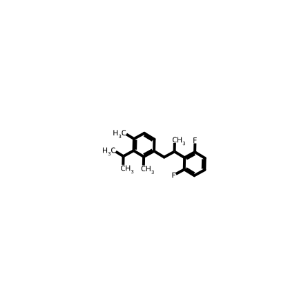 Cc1ccc(CC(C)c2c(F)cccc2F)c(C)c1C(C)C